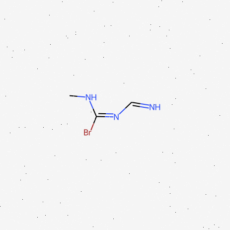 CN/C(Br)=N\C=N